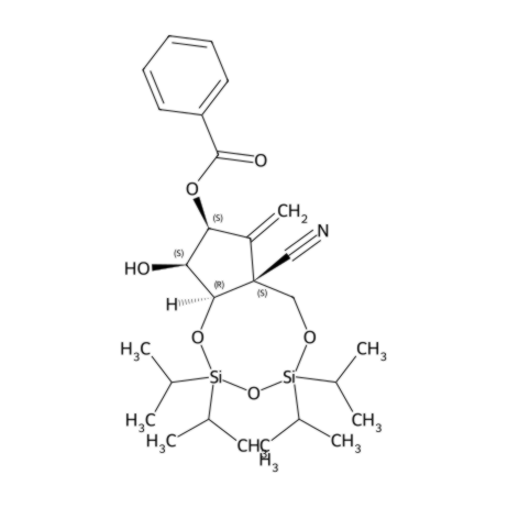 C=C1[C@H](OC(=O)c2ccccc2)[C@H](O)[C@@H]2O[Si](C(C)C)(C(C)C)O[Si](C(C)C)(C(C)C)OC[C@@]12C#N